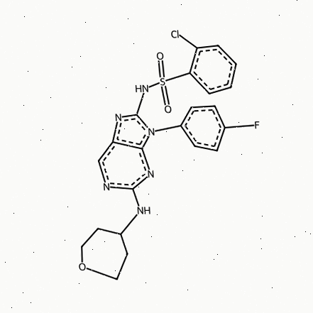 O=S(=O)(Nc1nc2cnc(NC3CCOCC3)nc2n1-c1ccc(F)cc1)c1ccccc1Cl